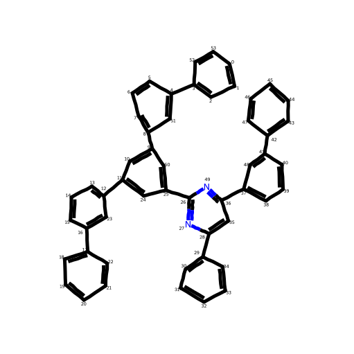 c1ccc(-c2cccc(-c3cc(-c4cccc(-c5ccccc5)c4)cc(-c4nc(-c5ccccc5)cc(-c5cccc(-c6ccccc6)c5)n4)c3)c2)cc1